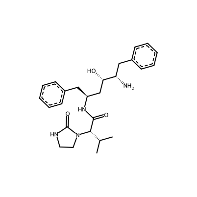 CC(C)[C@@H](C(=O)N[C@@H](Cc1ccccc1)C[C@H](O)[C@@H](N)Cc1ccccc1)N1CCNC1=O